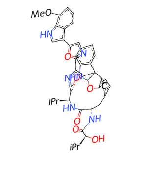 COc1cccc2c(-c3cnc(-c4nc5oc4C46c7ccccc7NC4Oc4ccc(cc46)C[C@H](NC(=O)[C@@H](O)C(C)C)C(=O)N[C@H]5C(C)C)o3)c[nH]c12